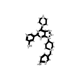 Oc1cncc(-c2nc(N3CCOCC3)c3nnn(C4CCN(Cc5ccc(Br)nc5)CC4)c3n2)c1